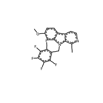 COc1ccc2c3ccnc(C)c3n(Cc3c(F)c(F)c(F)c(F)c3F)c2c1